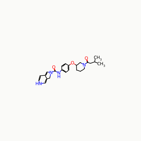 CC(C)CC(=O)N1CCCC(Oc2ccc(NC(=O)N3C=C4C=CNC=C4C3)cc2)C1